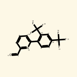 O=Cc1cccc(-c2ccc(C(F)(F)F)cc2C(F)(F)F)n1